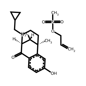 C=CCOS(C)(=O)=O.C[C@H]1[C@H]2C(=O)c3ccc(O)cc3[C@]1(C)CCN2CC1CC1